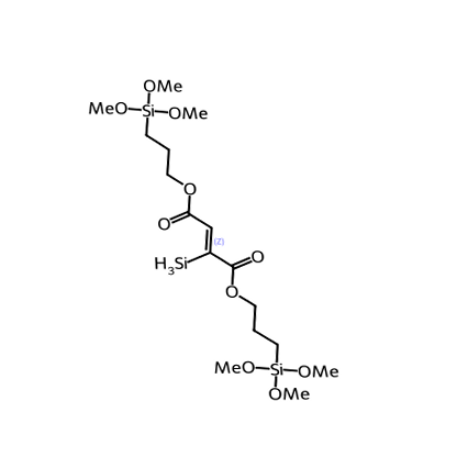 CO[Si](CCCOC(=O)/C=C(\[SiH3])C(=O)OCCC[Si](OC)(OC)OC)(OC)OC